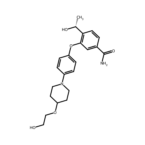 C[C@@H](O)c1ccc(C(N)=O)cc1Oc1ccc(N2CCC(OCCO)CC2)cc1